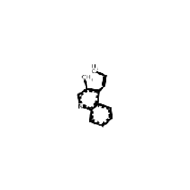 C/C=C\c1c(C)cnc2ccccc12